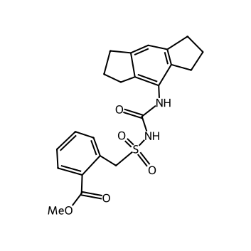 COC(=O)c1ccccc1CS(=O)(=O)NC(=O)Nc1c2c(cc3c1CCC3)CCC2